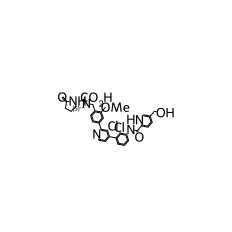 COc1cc(-c2nccc(-c3cccc(NC(=O)c4ccc(CO)cn4)c3Cl)c2Cl)ccc1CN(C[C@@H]1CCC(=O)N1)C(=O)O